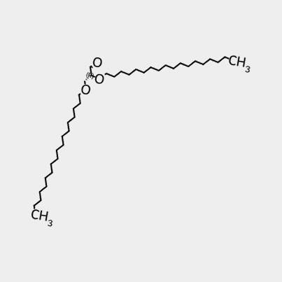 CCCCCCCCCCCCCCCCCCOC[C@H](C=O)OCCCCCCCCCCCCCCCCCC